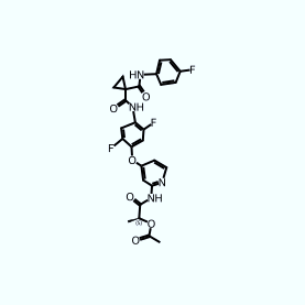 CC(=O)O[C@@H](C)C(=O)Nc1cc(Oc2cc(F)c(NC(=O)C3(C(=O)Nc4ccc(F)cc4)CC3)cc2F)ccn1